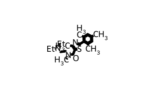 CCN(CC)CCN(C)C(=O)c1sc(-c2c(C)cc(C)cc2C)nc1C